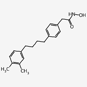 Cc1ccc(CCCCc2ccc(CC(=O)NO)cc2)cc1C